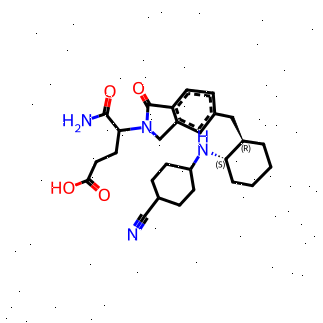 N#CC1CCC(N[C@H]2CCCC[C@@H]2Cc2ccc3c(c2)CN(C(CCC(=O)O)C(N)=O)C3=O)CC1